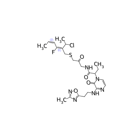 C/C=C\C(F)=C(\CSCC(=O)CNC(=O)C(CC)n1ccnc(NCCc2nc(C)no2)c1=O)C(C)Cl